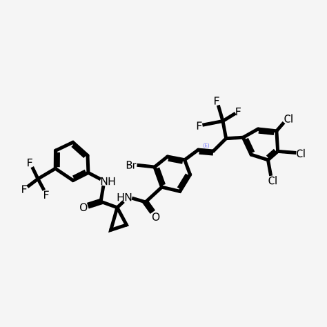 O=C(NC1(C(=O)Nc2cccc(C(F)(F)F)c2)CC1)c1ccc(/C=C/C(c2cc(Cl)c(Cl)c(Cl)c2)C(F)(F)F)cc1Br